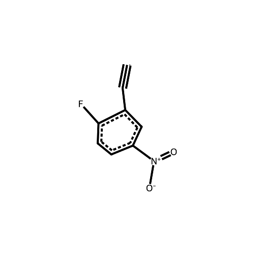 [C]#Cc1cc([N+](=O)[O-])ccc1F